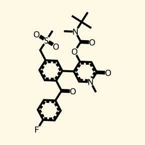 CN(C(=O)Oc1cc(=O)n(C)cc1-c1cc(CS(C)(=O)=O)ccc1C(=O)c1ccc(F)cc1)C(C)(C)C